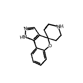 c1ccc2c(c1)OC1(CCNCC1)c1cn[nH]c1-2